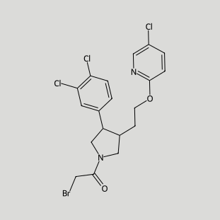 O=C(CBr)N1CC(CCOc2ccc(Cl)cn2)C(c2ccc(Cl)c(Cl)c2)C1